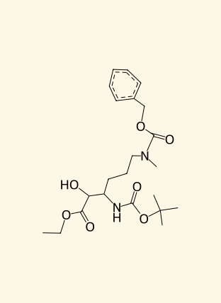 CCOC(=O)C(O)C(CCCN(C)C(=O)OCc1ccccc1)NC(=O)OC(C)(C)C